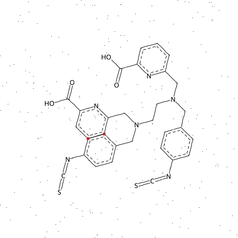 O=C(O)c1cccc(CN(CCN(Cc2ccc(N=C=S)cc2)Cc2cccc(C(=O)O)n2)Cc2ccc(N=C=S)cc2)n1